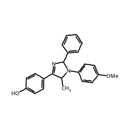 COc1ccc(N2C(C)C(c3ccc(O)cc3)=NC2c2ccccc2)cc1